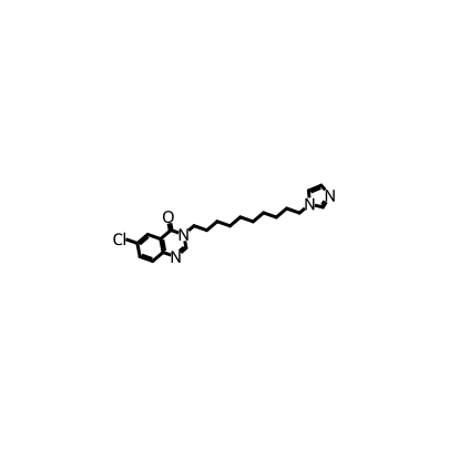 O=c1c2cc(Cl)ccc2ncn1CCCCCCCCCCn1ccnc1